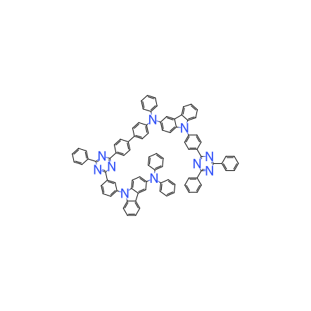 c1ccc(-c2nc(-c3ccccc3)nc(-c3ccc(-n4c5ccccc5c5cc(N(c6ccccc6)c6ccc(-c7ccc(-c8nc(-c9ccccc9)nc(-c9cccc(-n%10c%11ccccc%11c%11cc(N(c%12ccccc%12)c%12ccccc%12)ccc%11%10)c9)n8)cc7)cc6)ccc54)cc3)n2)cc1